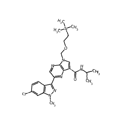 CC(C)NC(=O)c1cn(COCC[Si](C)(C)C)c2ncc(-c3nn(C)c4cc(Cl)ccc34)nc12